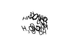 CS(=O)(=O)N1CC[C@@H](Nc2ncc3cccc(C(=O)N[C@@H]4CCc5[nH]cnc5C4)c3n2)[C@H](O)C1